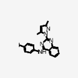 Cc1cc(C)n(-c2nc(Nc3ccc(I)cc3)c3ccccc3n2)n1